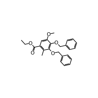 CCOC(=O)c1cc(OC)c(OCc2ccccc2)c(OCc2ccccc2)c1C